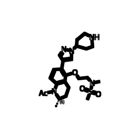 CC(=O)N1c2ccc(-c3cnn(C4CCNCC4)c3)c(OCCN(C)S(C)(=O)=O)c2CC[C@@H]1C